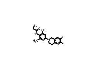 Cc1cc(N2CCc3nc(F)c(F)cc3C2)nc(C)c1NC(=O)CC(C)(C)C